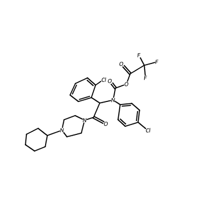 O=C(C(c1ccccc1Cl)N(C(=O)OC(=O)C(F)(F)F)c1ccc(Cl)cc1)N1CCN(C2CCCCC2)CC1